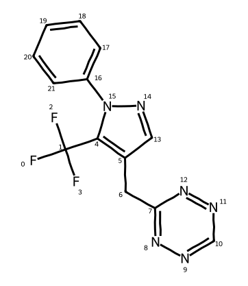 FC(F)(F)c1c(Cc2nncnn2)cnn1-c1ccccc1